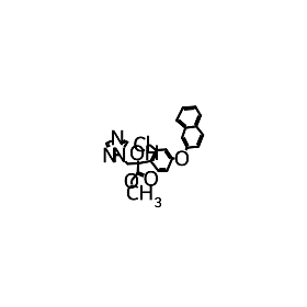 COC(=O)C(O)(Cn1cncn1)c1ccc(Oc2ccc3ccccc3c2)cc1Cl